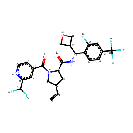 C=C[C@@H]1C[C@H](C(=O)N[C@@H](c2ccc(C(F)(F)F)cc2F)C2COC2)N(C(=O)c2ccnc(C(F)F)c2)C1